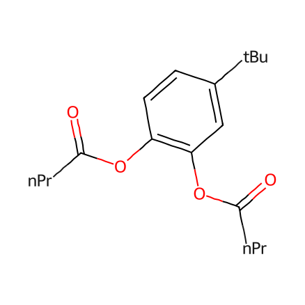 CCCC(=O)Oc1ccc(C(C)(C)C)cc1OC(=O)CCC